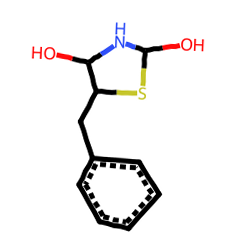 OC1NC(O)C(Cc2ccccc2)S1